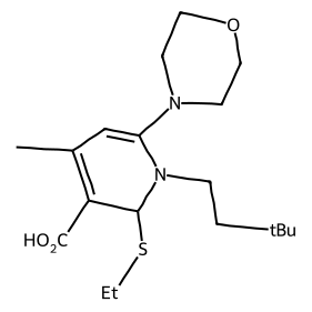 CCSC1C(C(=O)O)=C(C)C=C(N2CCOCC2)N1CCC(C)(C)C